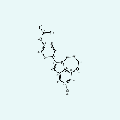 FC(F)Oc1ccc(-c2nc3cc(Br)cc4c3n2CCCO4)cc1